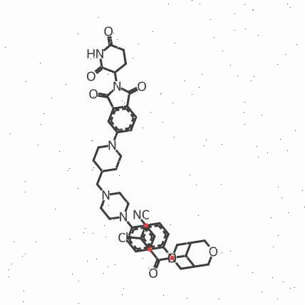 N#Cc1ccc(OC2C3COCC2CN(C(=O)c2ccc(N4CCN(CC5CCN(c6ccc7c(c6)C(=O)N(C6CCC(=O)NC6=O)C7=O)CC5)CC4)cc2)C3)cc1Cl